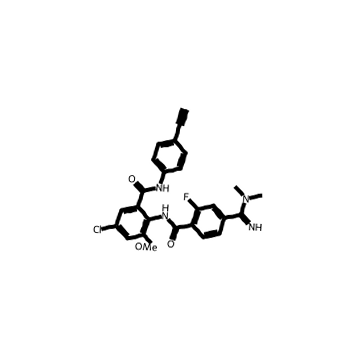 C#Cc1ccc(NC(=O)c2cc(Cl)cc(OC)c2NC(=O)c2ccc(C(=N)N(C)C)cc2F)cc1